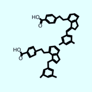 Cc1cc(C)cc(/C=C2\CCc3cccc(CCc4ccc(C(=O)O)cc4)c32)c1.Cc1cc(C)cc(CC2=CCc3cccc(CCc4ccc(C(=O)O)cc4)c32)c1